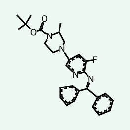 C[C@H]1CN(c2cnc(N=C(c3ccccc3)c3ccccc3)c(F)c2)CCN1C(=O)OC(C)(C)C